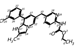 CCOC(=O)Nc1ccc(CC2=CN3C=C(C)NC3C(c3cccc(Cl)c3)=C2)cn1